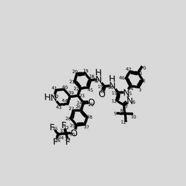 Cc1ccc(-n2nc(C(C)(C)C)cc2NC(=O)Nc2cccc(C(C(=O)c3ccc(OC(F)(F)C(F)F)cc3)C3CCNCC3)c2)cc1